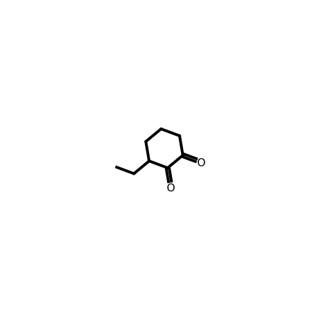 CCC1CCCC(=O)C1=O